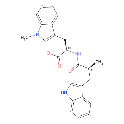 C[C@@H](Cc1c[nH]c2ccccc12)C(=O)N[C@H](Cc1cn(C)c2ccccc12)C(=O)O